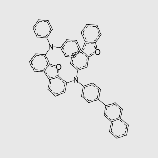 c1ccc(N(c2ccccc2)c2cccc3c2oc2c(N(c4ccc(-c5ccc6ccccc6c5)cc4)c4ccc5c(c4)oc4ccccc45)cccc23)cc1